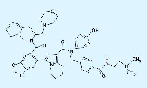 CN(C)CCNC(=O)c1ccc(CN(C(=O)c2cc(-c3cc4c(cc3C(=O)N3Cc5ccccc5CC3CN3CCOCC3)OCO4)n3c2CCCC3)c2ccc(O)cc2)cc1